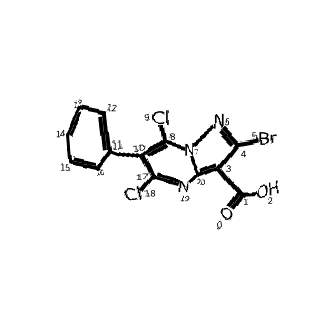 O=C(O)c1c(Br)nn2c(Cl)c(-c3ccccc3)c(Cl)nc12